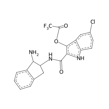 NC1c2ccccc2CC1NC(=O)c1[nH]c2ccc(Cl)cc2c1OC(=O)C(F)(F)F